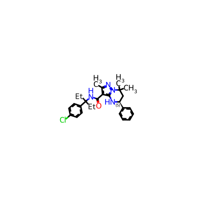 CCC(CC)(NC(=O)c1c(C)nn2c1N[C@H](c1ccccc1)CC2(C)C)c1ccc(Cl)cc1